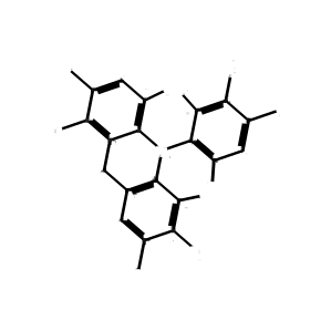 Bc1c(C)cc(C)c(B2c3c(cc(C)c(Br)c3C)Cc3c(Br)c(C)cc(C)c32)c1C